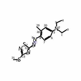 CCN(CC)c1ccc(/N=N/c2nc(SC)ns2)c(C)c1